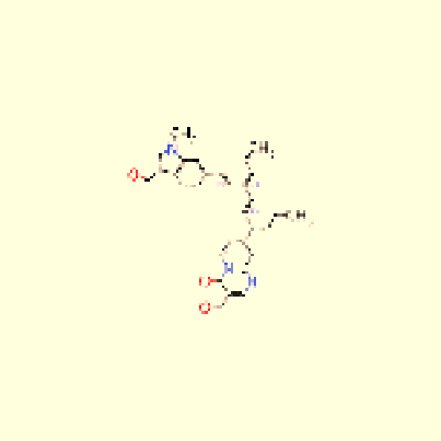 C=C/C=C(\C=C\c1ccc2c(C=O)cn(C)c2c1)/C=C/C(CCC)c1ccn2c(=O)c(C=O)cnc2c1